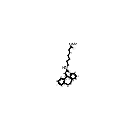 COC(=O)CCCCCCNC(=O)C=C1c2ccccc2CCc2ccccc21